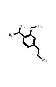 CCCc1ccc(C(C)C)c(OC)c1